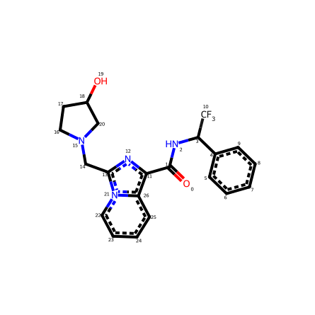 O=C(NC(c1ccccc1)C(F)(F)F)c1nc(CN2CCC(O)C2)n2ccccc12